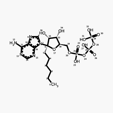 CCCCCC[C@@]1(n2cnc3c(N)ncnc32)O[C@H](COP(=O)(O)OP(=O)(O)OP(=O)(O)O)[C@@H](O)[C@H]1O